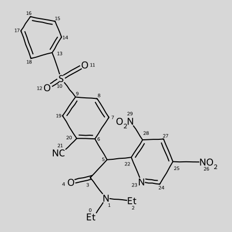 CCN(CC)C(=O)C(c1ccc(S(=O)(=O)c2ccccc2)cc1C#N)c1ncc([N+](=O)[O-])cc1[N+](=O)[O-]